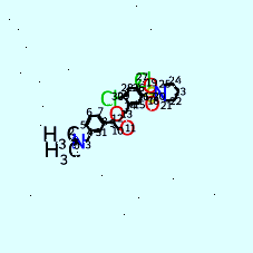 CN(C)Cc1cccc(C(C=O)OCc2cc(S(=O)(=O)N3CCCCC3)c(Cl)cc2Cl)c1